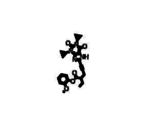 CCC(CC#Cc1nc2c([nH]1)c(=O)n(C1CC1)c(=O)n2C1CC1)C(=O)Oc1ccccc1OC